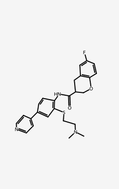 CN(C)CCSc1cc(-c2ccncc2)ccc1NC(=O)C1COc2ccc(F)cc2C1